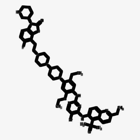 CCOc1cc(N2CCC(N3CCN(CCc4c(F)ccc5c4oc(=O)n5C4CCCNC4)CC3)CC2)c(CC)cc1Nc1ncc(Br)c(Nc2ccc3nc(CC)ccc3c2P(C)(C)=O)n1